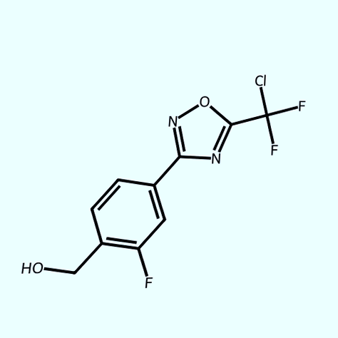 OCc1ccc(-c2noc(C(F)(F)Cl)n2)cc1F